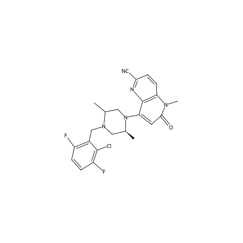 CC1CN(c2cc(=O)n(C)c3ccc(C#N)nc23)[C@@H](C)CN1Cc1c(F)ccc(F)c1Cl